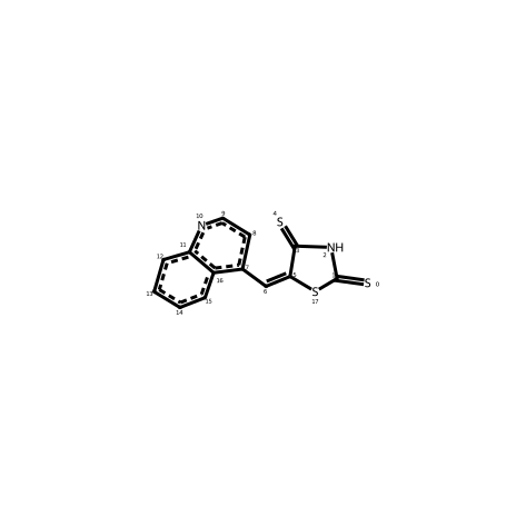 S=C1NC(=S)C(=Cc2ccnc3ccccc23)S1